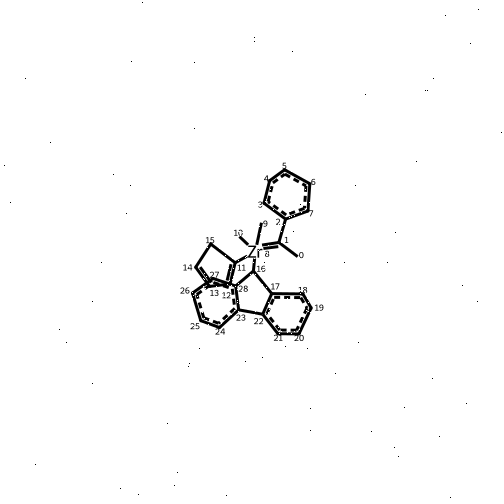 C[C](c1ccccc1)=[Zr]([CH3])([CH3])([C]1=CC=CC1)[CH]1c2ccccc2-c2ccccc21